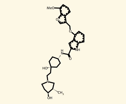 COc1cccc2c(COc3cccc4[nH]c(C(=O)N[C@H]5CC[C@](O)(CCN6CC[C@H](O)[C@@H](C)C6)CC5)cc34)coc12